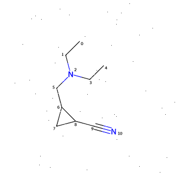 CCN(CC)CC1CC1C#N